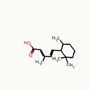 CC(C=CC1C(C)CCCC1(C)C)=CC(=O)O